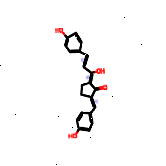 O=C1/C(=C(O)/C=C/c2ccc(O)cc2)CC/C1=C\c1ccc(O)cc1